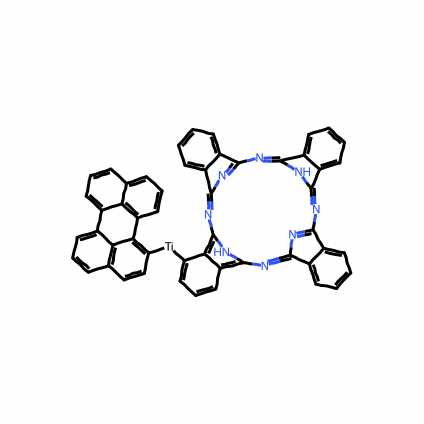 c1ccc2c(c1)-c1nc-2nc2[nH]c(nc3nc(nc4[nH]c(n1)c1ccccc41)-c1ccccc1-3)c1[c]([Ti][c]3ccc4cccc5c6cccc7cccc(c3c45)c76)cccc21